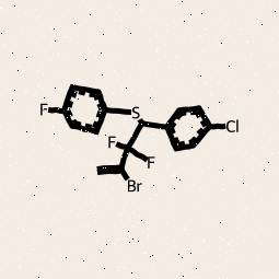 C=C(Br)C(F)(F)C(Sc1ccc(F)cc1)c1ccc(Cl)cc1